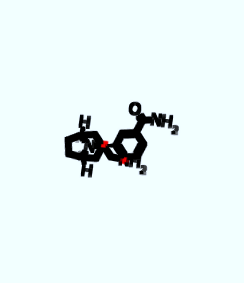 NCCN1[C@@H]2CC[C@H]1C[C@@H](c1cccc(C(N)=O)c1)C2